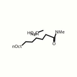 CC(=O)O.CCCCCCCCCCCCCC(=O)NC.[NaH]